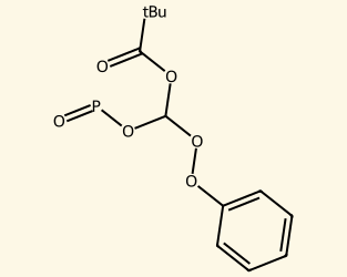 CC(C)(C)C(=O)OC(OOc1ccccc1)OP=O